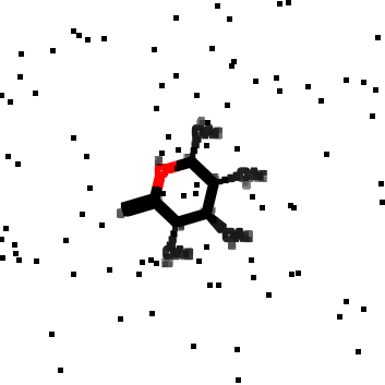 C=C1O[C@H](OC(C)=O)[C@H](OC(C)=O)[C@@H](OC(C)=O)[C@@H]1OC(C)=O